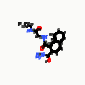 NC(=O)c1ccc2ccccc2c1C(=O)NCC(=O)NCC(F)(F)F